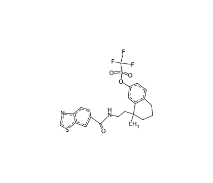 CC1(CCNC(=O)c2ccc3ncsc3c2)CCCc2ccc(OS(=O)(=O)C(F)(F)F)cc21